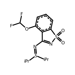 CC(C)S(=NC1=NS(=O)(=O)c2cccc(OC(F)F)c21)C(C)C